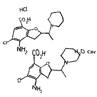 CC(C1Cc2c(N)c(Cl)cc(C(=O)O)c2O1)N1CCCCC1.CC(C1Cc2c(N)c(Cl)cc(C(=O)O)c2O1)N1CCCCC1.Cl.Cl.O